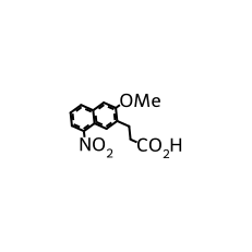 COc1cc2cccc([N+](=O)[O-])c2cc1CCC(=O)O